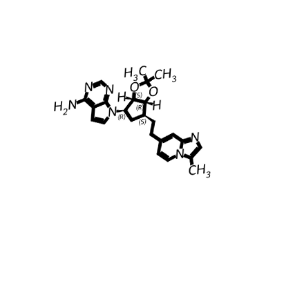 Cc1cnc2cc(CC[C@H]3C[C@@H](n4ccc5c(N)ncnc54)[C@@H]4OC(C)(C)O[C@H]34)ccn12